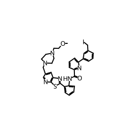 COCCN1CCN(Cc2cnc3sc(-c4ccccc4NC(=O)c4cccc(-c5cccc(CI)c5)n4)nc3c2)CC1